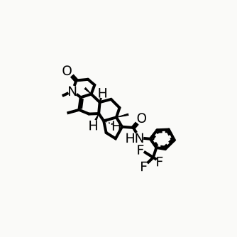 CC1=C2N(C)C(=O)CC[C@]2(C)[C@@H]2CC[C@]3(C)C(C(=O)Nc4ccccc4C(F)(F)F)CC[C@H]3[C@@H]2C1